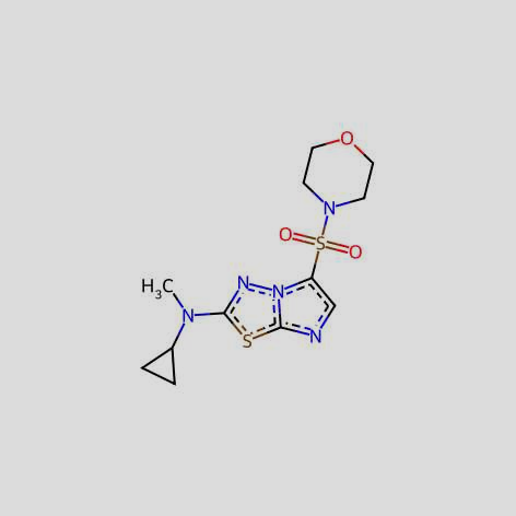 CN(c1nn2c(S(=O)(=O)N3CCOCC3)cnc2s1)C1CC1